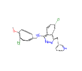 COc1ccc(CNc2nnc(Cc3cccnc3)c3cc(Cl)ccc23)cc1Cl